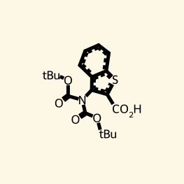 CC(C)(C)OC(=O)N(C(=O)OC(C)(C)C)c1c(C(=O)O)sc2ccccc12